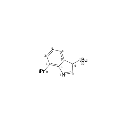 CC(C)c1cccc2c1N=CC2C(C)(C)C